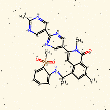 Cc1cc([C@@H](C)Nc2ccccc2S(C)(=O)=O)c2cc(-c3cnc(-c4cnc(C)nc4)nc3)n(C)c(=O)c2c1